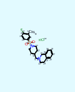 Cc1cc(S(=O)(=O)N2CCC(CN3CCc4ccccc4C3)CC2)ccc1F.Cl